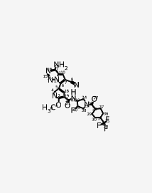 COc1ncc(-c2c(C#N)cc3c(N)ncnn23)cc1C(=O)NC1CN(C(=O)C2CCC(C(F)(F)F)CC2)CC1F